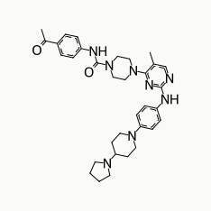 CC(=O)c1ccc(NC(=O)N2CCN(c3nc(Nc4ccc(N5CCC(N6CCCC6)CC5)cc4)ncc3C)CC2)cc1